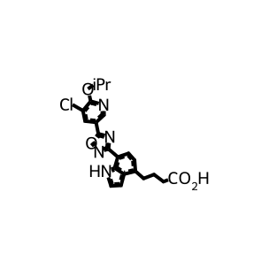 CC(C)Oc1ncc(-c2nc(-c3ccc(CCCC(=O)O)c4cc[nH]c34)no2)cc1Cl